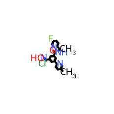 Cc1ccc(-c2cc(C(=O)N[C@H](C)c3ccc(F)cn3)cc(/C(Cl)=N/O)c2)nc1